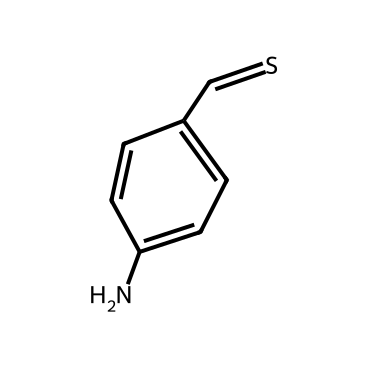 Nc1ccc(C=S)cc1